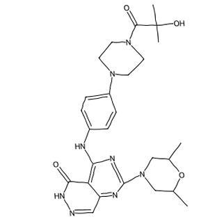 CC1CN(c2nc(Nc3ccc(N4CCN(C(=O)C(C)(C)O)CC4)cc3)c3c(=O)[nH]ncc3n2)CC(C)O1